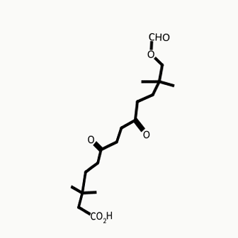 CC(C)(CCC(=O)CCC(=O)CCC(C)(C)CC(=O)O)COC=O